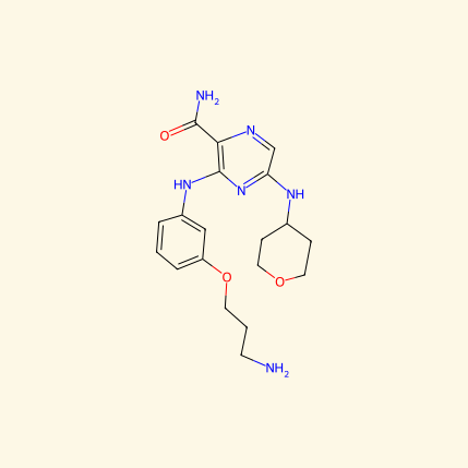 NCCCOc1cccc(Nc2nc(NC3CCOCC3)cnc2C(N)=O)c1